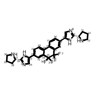 FC1(F)c2cc(-c3cnc([C@@H]4CCCN4)[nH]3)ccc2-c2ccc(-c3cnc([C@@H]4CCCN4)[nH]3)cc2C1(F)F